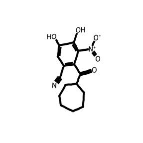 N#Cc1cc(O)c(O)c([N+](=O)[O-])c1C(=O)C1CCCCCC1